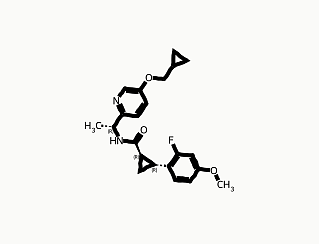 COc1ccc([C@@H]2C[C@H]2C(=O)N[C@H](C)c2ccc(OCC3CC3)cn2)c(F)c1